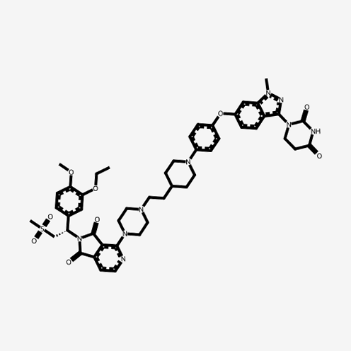 CCOc1cc([C@@H](CS(C)(=O)=O)N2C(=O)c3ccnc(N4CCN(CCC5CCN(c6ccc(Oc7ccc8c(N9CCC(=O)NC9=O)nn(C)c8c7)cc6)CC5)CC4)c3C2=O)ccc1OC